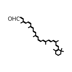 CC1=C(/C=C/C(C)=C\C=C\C(C)=C\C=C/C=C(C)/C=C/C=C(C)/C=C\C=C(C)/C=C\C=O)C(C)(C)CCC1